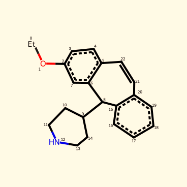 CCOc1ccc2c(c1)C(C1CCNCC1)c1ccccc1C=C2